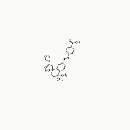 CCOC(=O)CC1(O)CCC(C)(C)c2ccc(N=Nc3ccc(C(=O)O)cc3)cc21